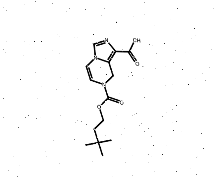 CC(C)(C)CCOC(=O)N1C=Cn2cnc(C(=O)O)c2C1